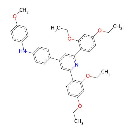 CCOc1ccc(-c2cc(-c3ccc(Nc4ccc(OC)cc4)cc3)cc(-c3ccc(OCC)cc3OCC)n2)c(OCC)c1